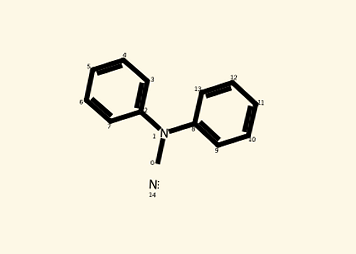 CN(c1ccccc1)c1ccccc1.[N]